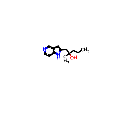 CCCC(C)(O)Cc1cc2cnccc2[nH]1